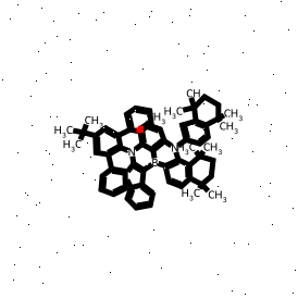 Cc1cc2c3c(c1)N(c1c(-c4ccccc4)cc(C(C)(C)C)cc1-c1ccccc1)c1sc4ccccc4c1B3c1ccc3c(c1N2c1ccc2c(c1)C(C)(C)CCC2(C)C)C(C)(C)CCC3(C)C